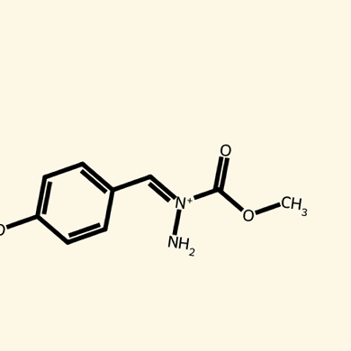 COC(=O)[N+](N)=Cc1ccc(O)cc1